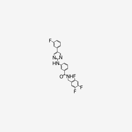 O=C(NCc1cc(F)c(F)cc1F)c1cccc(Nc2ncc(-c3cccc(F)c3)cn2)c1